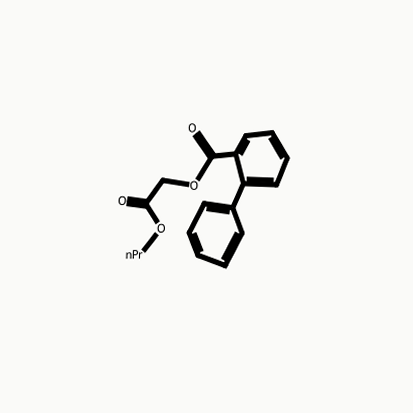 CCCOC(=O)COC(=O)c1ccccc1-c1ccccc1